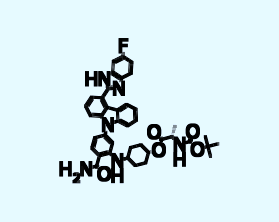 C[C@H](NC(=O)OC(C)(C)C)C(=O)O[C@H]1CC[C@H](Nc2cc(-n3c4ccccc4c4c(-c5nc6ccc(F)cc6[nH]5)cccc43)ccc2C(N)=O)CC1